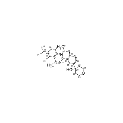 Cc1nc(NC(C)c2cccc(C(F)F)c2F)c2cc(C3(O)CCOCC3)cnc2n1